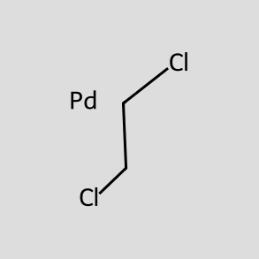 ClCCCl.[Pd]